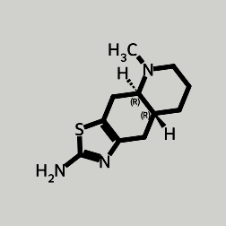 CN1CCC[C@@H]2Cc3nc(N)sc3C[C@H]21